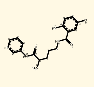 CC(CCCNC(=O)c1cc(Cl)ccc1S)C(=O)Nc1cccnc1